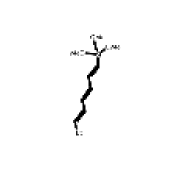 CCC=CC=CC=C[Si](OC)(OC)OC